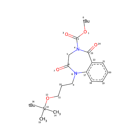 CC(C)(C)OC(=O)N1CC(=O)N(CCCO[Si](C)(C)C(C)(C)C)c2ccccc2C1=O